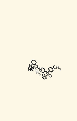 Cc1ccc(N(C(=O)c2ccco2)C2CCN(CCC3(C(C)n4ncnn4)CCCCC3)CC2)cc1